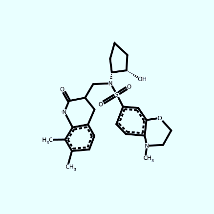 Cc1ccc2c(c1C)[N]C(=O)C(CN([C@@H]1CCC[C@@H]1O)S(=O)(=O)c1ccc3c(c1)OCCN3C)C2